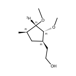 [2H][C@]1(OC)[C@H](C)C[C@H](CCO)[C@H]1OC